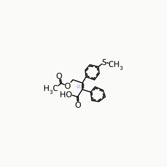 CSc1ccc(/C(COC(C)=O)=C(/C(=O)O)c2ccccc2)cc1